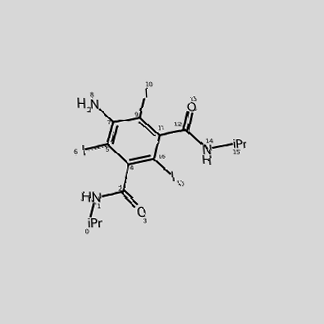 CC(C)NC(=O)c1c(I)c(N)c(I)c(C(=O)NC(C)C)c1I